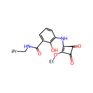 CCOc1c(Nc2cccc(C(=O)NCC(C)C)c2O)c(=O)c1=O